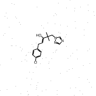 CC(C)(Cn1cncn1)/C(O)=C/Cc1ccc(Cl)cc1